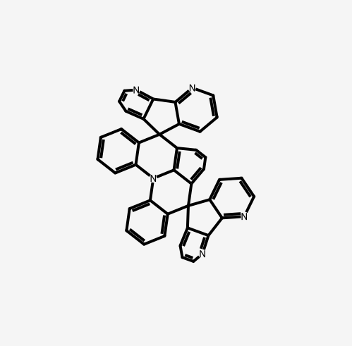 c1ccc2c(c1)N1c3ccccc3C3(c4cccnc4-c4ncccc43)c3cccc(c31)C21c2cccnc2-c2ncccc21